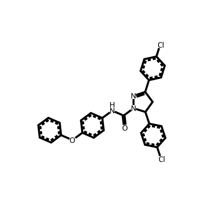 O=C(Nc1ccc(Oc2ccccc2)cc1)N1N=C(c2ccc(Cl)cc2)CC1c1ccc(Cl)cc1